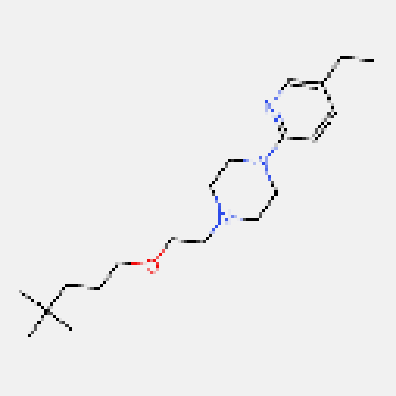 CCc1ccc(N2CCN(CCOCCCC(C)(C)C)CC2)nc1